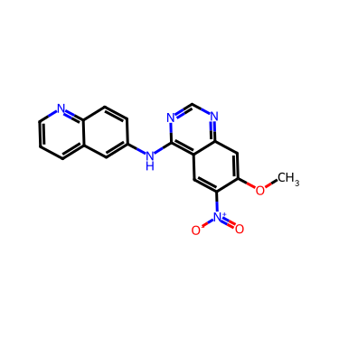 COc1cc2ncnc(Nc3ccc4ncccc4c3)c2cc1[N+](=O)[O-]